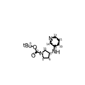 CC(C)(C)OC(=O)N1CC[C@@H](Nc2cccnc2)C1